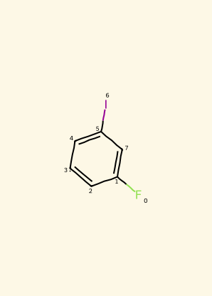 Fc1c[c]cc(I)c1